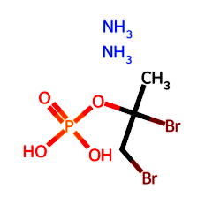 CC(Br)(CBr)OP(=O)(O)O.N.N